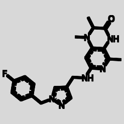 Cc1nc(NCc2cnn(Cc3ccc(F)cc3)c2)cc2c1NC(=O)C(C)N2C